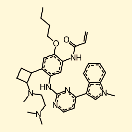 C=CC(=O)Nc1cc(Nc2nccc(-c3cn(C)c4ccccc34)n2)c(C2CCC2N(C)CCN(C)C)cc1OCCCC